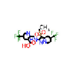 CCS(=O)(=O)c1c(NCc2ncc(C(F)(F)F)cc2C(=O)O)nn2ccc(C(F)(F)F)cc12